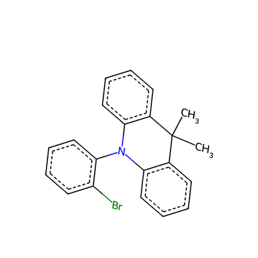 CC1(C)c2ccccc2N(c2ccccc2Br)c2ccccc21